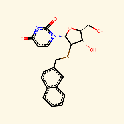 O=c1ccn([C@@H]2O[C@H](CO)[C@H](O)C2SCc2ccc3ccccc3c2)c(=O)[nH]1